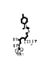 CCOC(=O)C(CC/N=C\N(C)C1CCC(C)CC1)CC(CC)CNC(=O)OC(C)(C)C